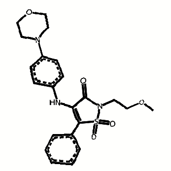 COCCN1C(=O)C(Nc2ccc(N3CCOCC3)cc2)=C(c2ccccc2)S1(=O)=O